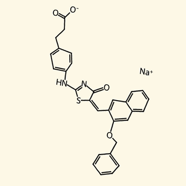 O=C([O-])CCc1ccc(NC2=NC(=O)C(=Cc3cc4ccccc4cc3OCc3ccccc3)S2)cc1.[Na+]